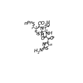 CCCSCC1=C(C(=O)O)N2C(=O)C(NC(=O)C(=O)c3csc(N)n3)[C@@H]2SC1